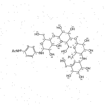 CC(=O)Nc1ccc(NC2OC(CO)C(OC3OC(CO)C(OC4OC(C)C(NC5C=C(CO)C(O)C(O)C5O)C(O)C4O)C(O)C3O)C(O)C2O)cc1